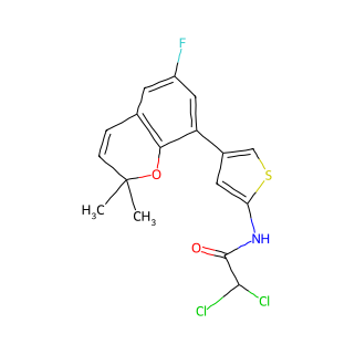 CC1(C)C=Cc2cc(F)cc(-c3csc(NC(=O)C(Cl)Cl)c3)c2O1